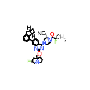 C=C(F)C(=O)N1CCN(c2nc(OCC34CCCN3C[C@H](F)C4)nc3cc(-c4cccc5c4[C@@H]4CC[C@@H]4C5)ccc23)C[C@@H]1CC#N